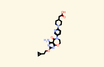 Nc1nc(OCCC2CC2)nc2c1C(=O)N(c1ccc(N3CCC(CC(=O)O)CC3)nc1)CCO2